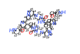 COC1(c2ccc(-c3cc4c(N5CCN(C(=O)NC(C)CCO[C@]6(c7ccc(-c8cc9c(N%10CCN(C(=O)NC(C)C)CC%10)ccnn9c8)nc7)CCCNC6)CC5)ccnn4c3)nc2)CCNCC1